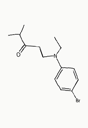 CCN(CCC(=O)C(C)C)c1ccc(Br)cc1